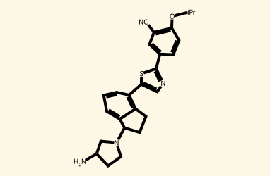 CC(C)Oc1ccc(-c2ncc(-c3cccc4c3CCC4N3CCC(N)C3)s2)cc1C#N